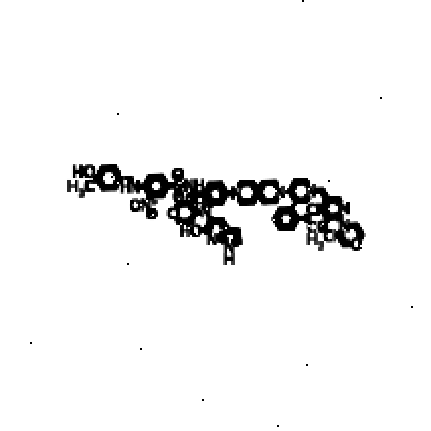 COc1cc(CN2CC[C@@H](N3CCC4(CCN(c5ccc(C(=O)NS(=O)(=O)c6ccc(NC[C@H]7CC[C@](C)(O)CC7)c([N+](=O)[O-])c6)c(N6c7cc8cc[nH]c8nc7O[C@H]7COCC[C@@H]76)c5)CC4)CC3)[C@H](c3ccccc3C(C)C)C2)cnc1N1CCOCC1